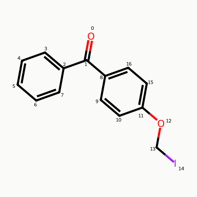 O=C(c1ccccc1)c1ccc(OCI)cc1